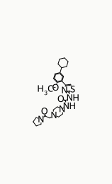 COc1ccc(C2CCCCC2)cc1-c1csc(NC(=O)NN2CCN(CC(=O)N3CCCC3)CC2)n1